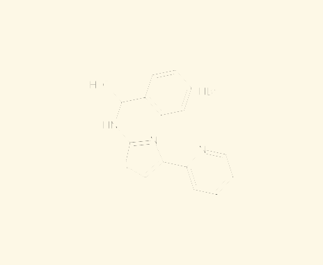 Br.CC(Nc1nc(-c2ccccn2)cs1)c1ccccc1